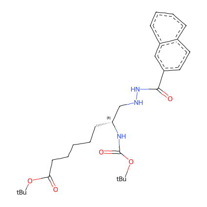 CC(C)(C)OC(=O)CCCCC[C@H](CNNC(=O)c1ccc2ccccc2c1)NC(=O)OC(C)(C)C